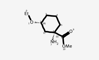 CCO[C@@H]1CCC[C@@](N)(C(=O)OC)C1